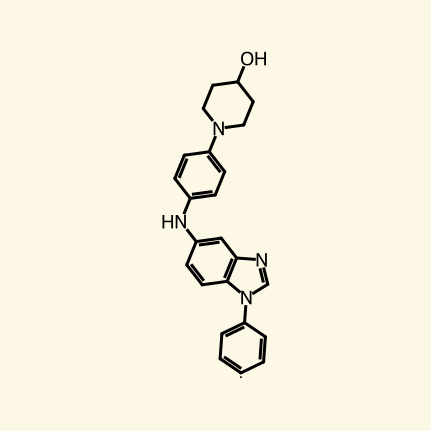 OC1CCN(c2ccc(Nc3ccc4c(c3)ncn4-c3cc[c]cc3)cc2)CC1